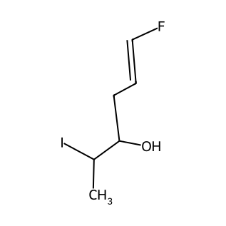 CC(I)C(O)CC=CF